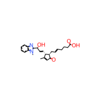 CC1=CC(=O)[C@H](CC=CCCCC(=O)O)[C@H]1C=CC(O)c1nc2ccccc2n1C